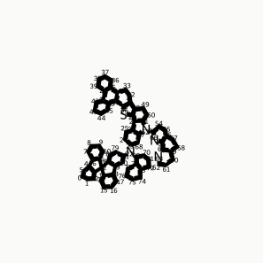 c1ccc2c(c1)-c1ccccc1C21c2ccccc2-c2cc(N(c3ccc4c5c6sc7c(ccc8c9ccccc9c9ccccc9c87)c6ccc5n(-c5ccc6ccc7cccnc7c6n5)c4c3)c3cccc4ccccc34)ccc21